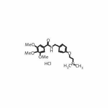 COc1cc(C(=O)NCc2ccc(OCCN(C)C)cc2)cc(OC)c1OC.Cl